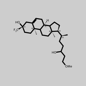 COCCC(O)CC[C@H](C)[C@@H]1CCC2[C@@H]3CC=C4C[C@](O)(C(F)(F)F)CC[C@]4(C)C3CC[C@@]21C